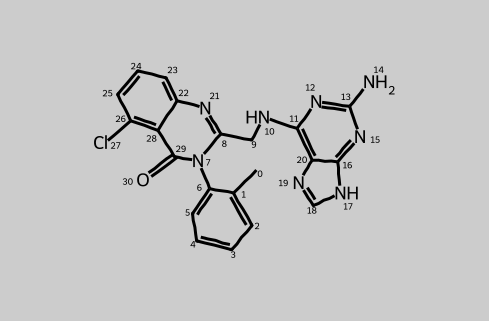 Cc1ccccc1-n1c(CNc2nc(N)nc3[nH]cnc23)nc2cccc(Cl)c2c1=O